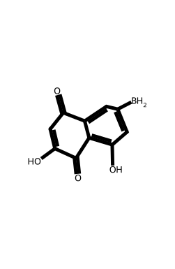 Bc1cc(O)c2c(c1)C(=O)C=C(O)C2=O